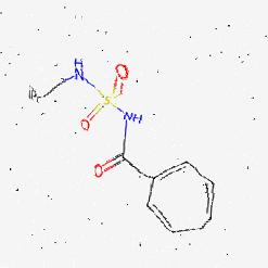 CC(C)NS(=O)(=O)NC(=O)c1ccccc1